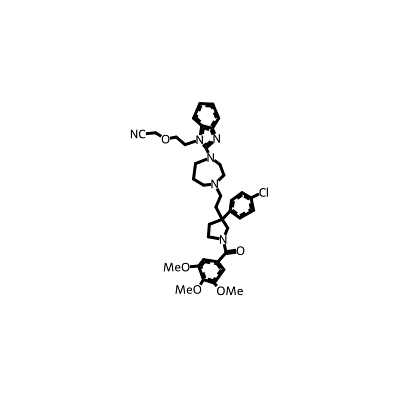 COc1cc(C(=O)N2CCC(CCN3CCCN(c4nc5ccccc5n4CCOCC#N)CC3)(c3ccc(Cl)cc3)C2)cc(OC)c1OC